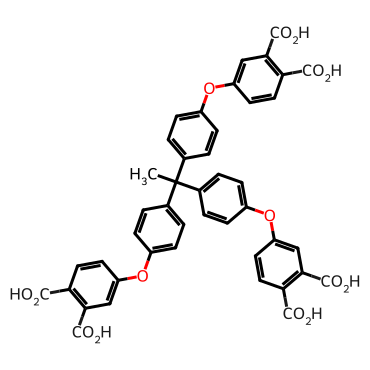 CC(c1ccc(Oc2ccc(C(=O)O)c(C(=O)O)c2)cc1)(c1ccc(Oc2ccc(C(=O)O)c(C(=O)O)c2)cc1)c1ccc(Oc2ccc(C(=O)O)c(C(=O)O)c2)cc1